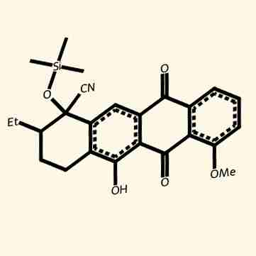 CCC1CCc2c(cc3c(c2O)C(=O)c2c(OC)cccc2C3=O)C1(C#N)O[Si](C)(C)C